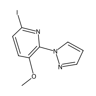 COc1ccc(I)nc1-n1cccn1